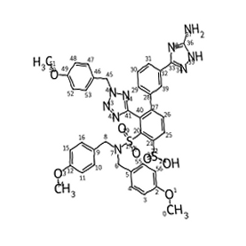 COc1ccc(CN(Cc2ccc(OC)cc2)S(=O)(=O)c2c(S(=O)O)ccc(-c3cccc(-c4n[nH]c(N)n4)c3)c2-c2nnn(Cc3ccc(OC)cc3)n2)cc1